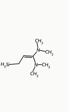 CN(C)C(=CC[SiH3])N(C)C